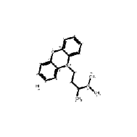 CC(CCN1c2ccccc2Oc2ccccc21)N(C)C.I